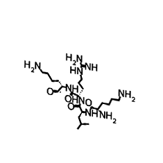 CC(C)C[C@H](NC(=O)[C@@H](N)CCCCN)C(=O)N[C@@H](CCCNC(=N)N)C(=O)N[C@H]([C]=O)CCCCN